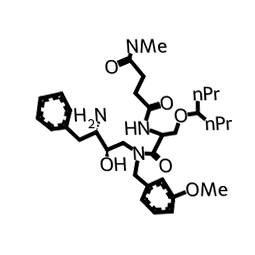 CCCC(CCC)OCC(NC(=O)CCC(=O)NC)C(=O)N(Cc1cccc(OC)c1)C[C@@H](O)[C@@H](N)Cc1ccccc1